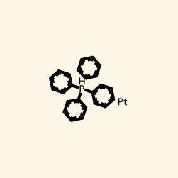 [Pt].c1ccc([PH](c2ccccc2)(c2ccccc2)c2ccccc2)cc1